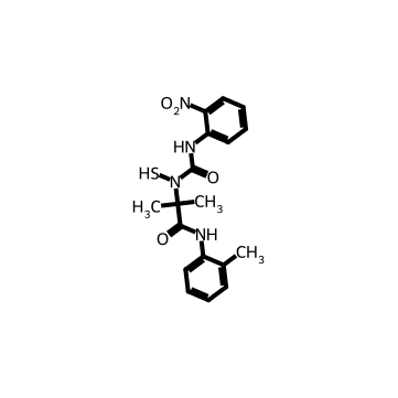 Cc1ccccc1NC(=O)C(C)(C)N(S)C(=O)Nc1ccccc1[N+](=O)[O-]